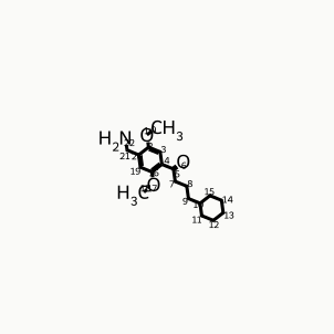 COc1cc(C(=O)CCCC2CCCCC2)c(OC)cc1CN